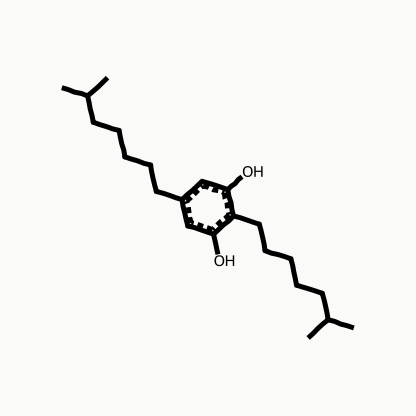 CC(C)CCCCCc1cc(O)c(CCCCCC(C)C)c(O)c1